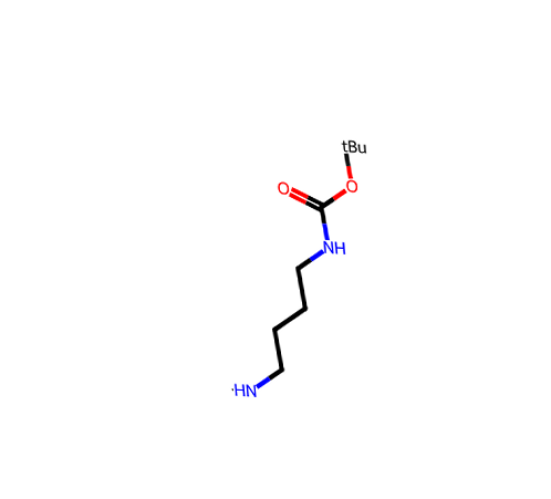 CC(C)(C)OC(=O)NCCCC[NH]